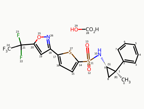 C[C@]1(c2ccccc2)C[C@@H]1NS(=O)(=O)c1ccc(-c2cc(C(F)(F)C(F)(F)F)on2)s1.O=C(O)O